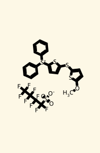 COc1ccc(Sc2ccc([S+](c3ccccc3)c3ccccc3)s2)s1.O=S(=O)([O-])C(F)(F)C(F)(F)C(F)(F)C(F)(F)F